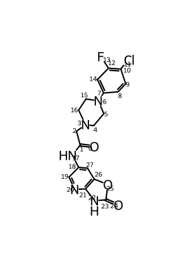 O=C(CN1CCN(c2ccc(Cl)c(F)c2)CC1)Nc1cnc2[nH]c(=O)oc2c1